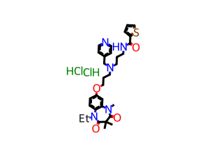 CCN1C(=O)C(C)(C)C(=O)N(C)c2cc(OCCCN(CCCNC(=O)c3cccs3)Cc3ccncc3)ccc21.Cl.Cl